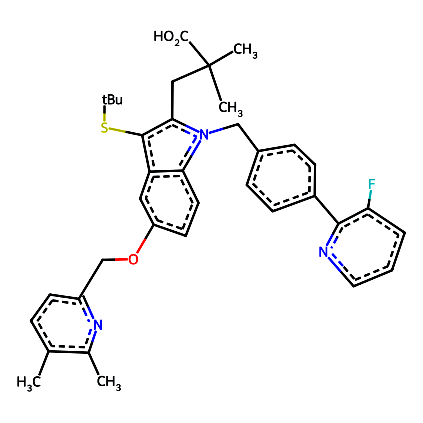 Cc1ccc(COc2ccc3c(c2)c(SC(C)(C)C)c(CC(C)(C)C(=O)O)n3Cc2ccc(-c3ncccc3F)cc2)nc1C